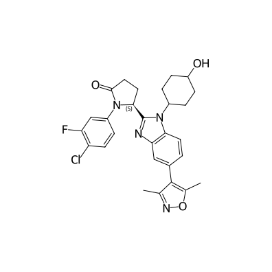 Cc1noc(C)c1-c1ccc2c(c1)nc([C@@H]1CCC(=O)N1c1ccc(Cl)c(F)c1)n2C1CCC(O)CC1